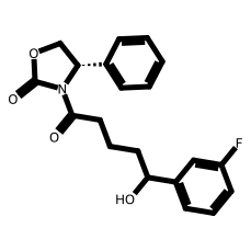 O=C(CCCC(O)c1cccc(F)c1)N1C(=O)OC[C@@H]1c1ccccc1